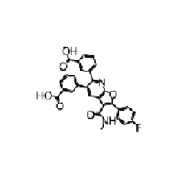 CNC(=O)c1c(-c2ccc(F)cc2)oc2nc(-c3cccc(C(=O)O)c3)c(-c3cccc(C(=O)O)c3)cc12